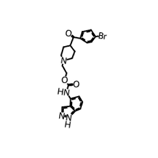 O=C(Nc1cccc2[nH]ncc12)OCCN1CCC(C(=O)c2ccc(Br)cc2)CC1